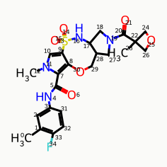 Cc1cc(NC(=O)c2c3c(cn2C)S(=O)(=O)NC2CN(C(=O)C4(C)COC4)CC2CO3)ccc1F